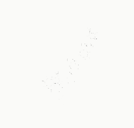 COCCCn1c([C@H]2CCCN(C(=O)C[C@H](N)Cc3ccc(NC(=O)c4cn(C)cn4)cc3)C2)c(C)c2cccc(F)c21